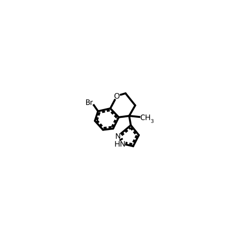 CC1(c2cc[nH]n2)CCOc2c(Br)cccc21